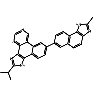 Cc1nc2ccc3cc(-c4ccc5c(c4)c4cncnc4c4nc(C(C)C)[nH]c54)ccc3c2[nH]1